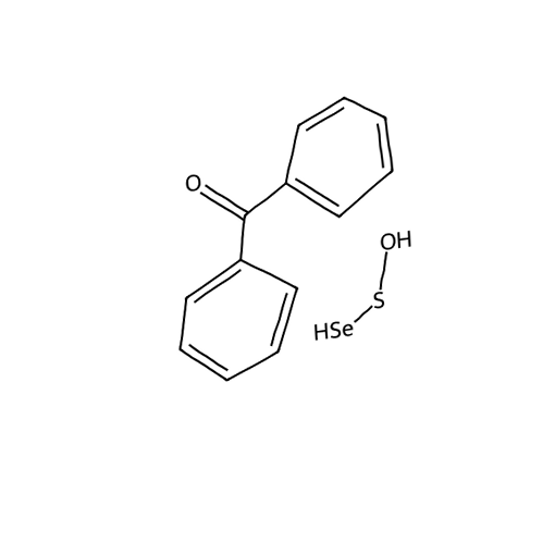 O=C(c1ccccc1)c1ccccc1.OS[SeH]